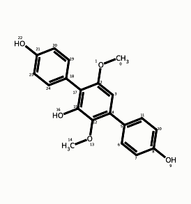 COc1cc(-c2ccc(O)cc2)c(OC)c(O)c1-c1ccc(O)cc1